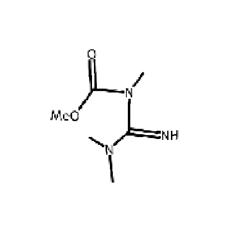 COC(=O)N(C)C(=N)N(C)C